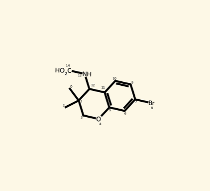 CC1(C)COc2cc(Br)ccc2C1NC(=O)O